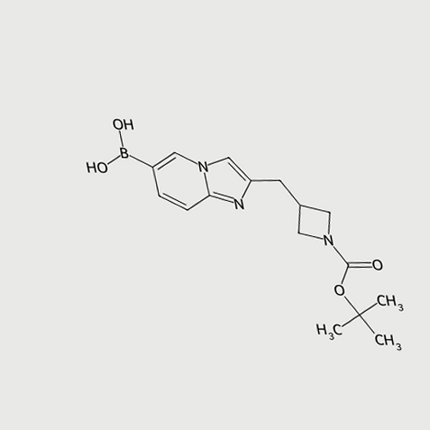 CC(C)(C)OC(=O)N1CC(Cc2cn3cc(B(O)O)ccc3n2)C1